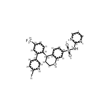 O=S(=O)(Nc1ncccn1)c1ccc2c(c1)OCC[C@H]2c1ccc(C(F)(F)F)cc1-c1ccc(F)nc1